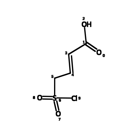 O=C(O)C=CCS(=O)(=O)Cl